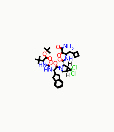 CC(C)(C)OC(=O)[C@@H](NC(=O)N[C@H](C(=O)N1C[C@H]2[C@@H]([C@H]1C(=O)NC(CC1CCC1)C(=O)C(N)=O)C2(Cl)Cl)C1Cc2ccccc2C1)C(C)(C)C